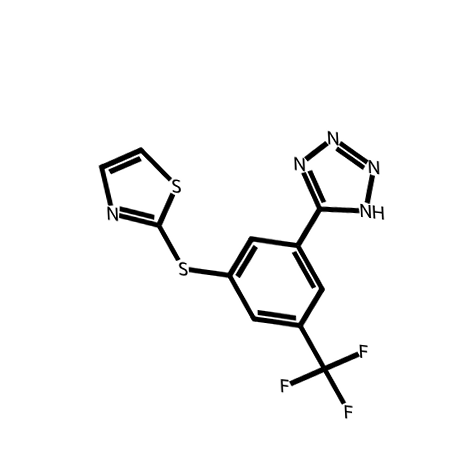 FC(F)(F)c1cc(Sc2nccs2)cc(-c2nnn[nH]2)c1